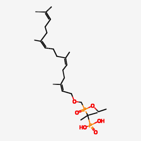 CCOP(=O)(COCC=C(C)CCC=C(C)CCC=C(C)CCC=C(C)C)C(C)(C)P(=O)(O)O